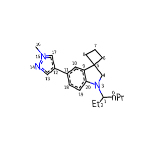 CCCC(CC)N1CC2(CCC2)c2cc(-c3cnn(C)c3)ccc21